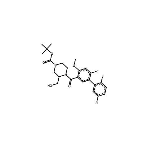 COc1cc(Cl)c(-c2cc(Cl)ccc2Cl)cc1C(=O)N1CCN(C(=O)OC(C)(C)C)CC1CO